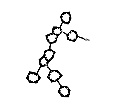 CC(C)(C)c1ccc(-n2c(-c3ccccc3)cc3ccc(-c4ccc5c(c4)cc(-c4ccccc4)n5-c4ccc(-c5ccccc5)cc4)cc32)cc1